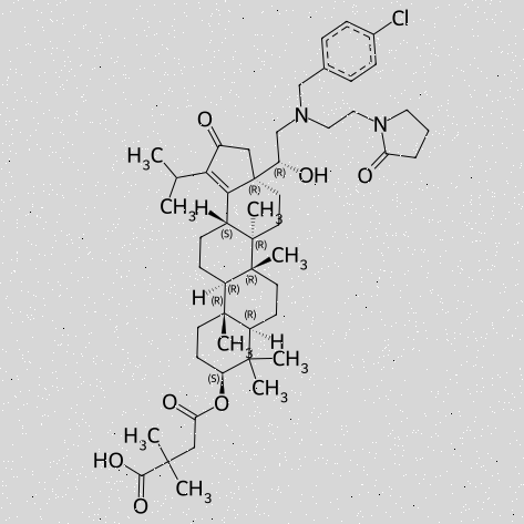 CC(C)C1=C2[C@H]3CC[C@@H]4[C@@]5(C)CC[C@H](OC(=O)CC(C)(C)C(=O)O)C(C)(C)[C@@H]5CC[C@@]4(C)[C@]3(C)CC[C@@]2([C@@H](O)CN(CCN2CCCC2=O)Cc2ccc(Cl)cc2)CC1=O